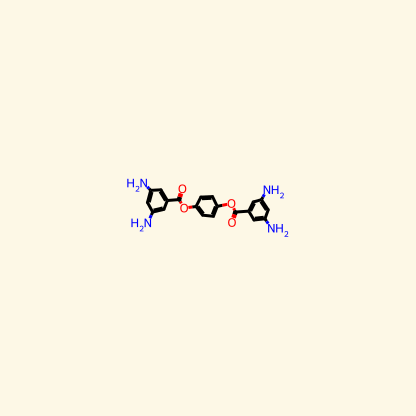 Nc1cc(N)cc(C(=O)Oc2ccc(OC(=O)c3cc(N)cc(N)c3)cc2)c1